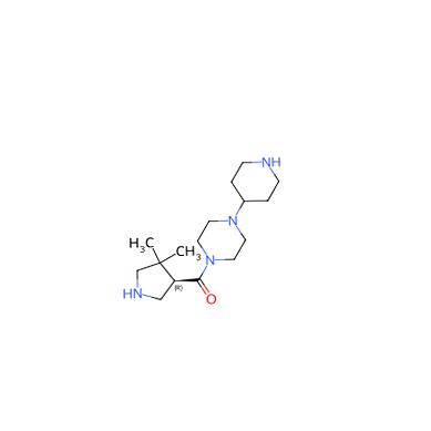 CC1(C)CNC[C@@H]1C(=O)N1CCN(C2CCNCC2)CC1